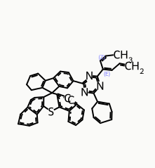 C=C/C=C(\C=C/C)c1nc(C2=CC=CC=CC2)nc(-c2ccc3c(c2)C2(C4=C3C=CCC4)c3ccc4ccccc4c3Sc3c2ccc2ccccc32)n1